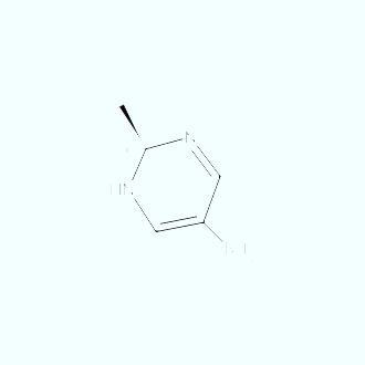 BC1=CN[C@@H](C)N=C1